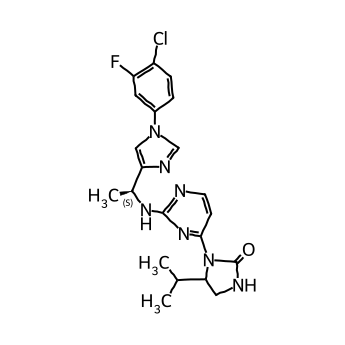 CC(C)C1CNC(=O)N1c1ccnc(N[C@@H](C)c2cn(-c3ccc(Cl)c(F)c3)cn2)n1